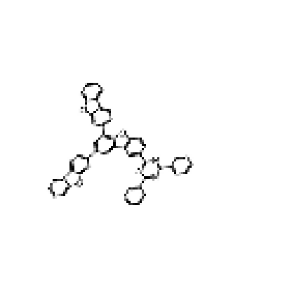 c1ccc(-c2nc(-c3ccccc3)nc(-c3ccc4oc5c(-c6ccc7c(c6)oc6ccccc67)cc(-c6ccc7c(c6)oc6ccccc67)cc5c4c3)n2)cc1